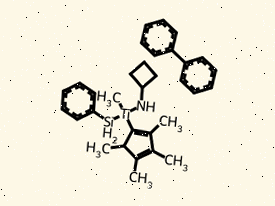 CC1=C(C)C(C)[C]([Ti]([CH3])([NH]C2CCC2)[SiH2]c2ccccc2)=C1C.c1ccc(-c2ccccc2)cc1